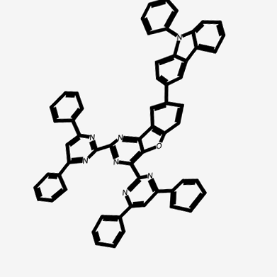 c1ccc(-c2cc(-c3ccccc3)nc(-c3nc(-c4nc(-c5ccccc5)cc(-c5ccccc5)n4)c4oc5ccc(-c6ccc7c(c6)c6ccccc6n7-c6ccccc6)cc5c4n3)n2)cc1